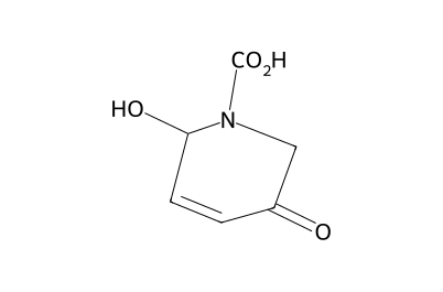 O=C1C=CC(O)N(C(=O)O)C1